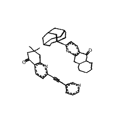 CC1(C)CC(=O)c2ccc(C#Cc3cccnc3)nc2C1.O=C1c2ccc(C34CC5CC(CC(C5)C3)C4)nc2CC2CCCCC12